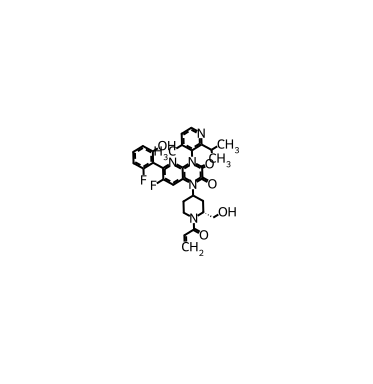 C=CC(=O)N1CCC(n2c(=O)c(=O)n(-c3c(C)ccnc3C(C)C)c3nc(-c4c(O)cccc4F)c(F)cc32)C[C@@H]1CO